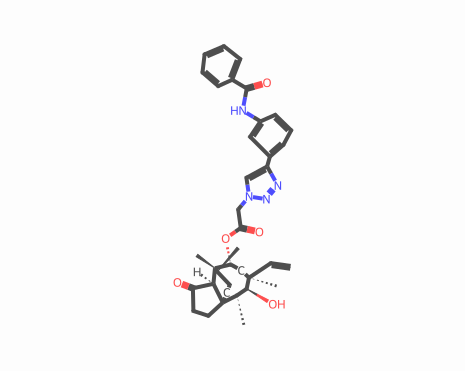 C=C[C@]1(C)C[C@@H](OC(=O)Cn2cc(-c3cccc(NC(=O)c4ccccc4)c3)nn2)[C@]2(C)[C@H](C)CC[C@]3(CCC(=O)[C@H]32)[C@@H](C)[C@@H]1O